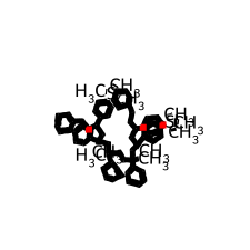 CC(CCC(C)(CC(C)(CC(CCc1ccccc1)c1ccc([Si](C)(C)C)cc1)c1ccccc1)c1ccccc1)(CC(C)(CC(CCc1ccccc1)c1ccc([Si](C)(C)C)cc1)c1ccccc1)c1ccccc1